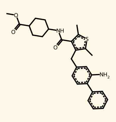 COC(=O)C1CCC(NC(=O)c2c(C)sc(C)c2Cc2ccc(-c3ccccc3)c(N)c2)CC1